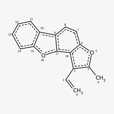 C=Cc1c(C)oc2ccc3c4ccccc4oc3c12